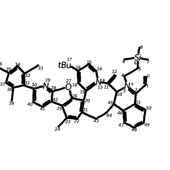 C=CC1=[N+](CC[Si](C)(C)C)C2C(=C)[n+]3ccc(C(C)(C)C)cc3-c3c(cc(C)c4c3oc3nc(-c5c(C)cc(C)cc5C)ccc34)CCC2c2ccccc21